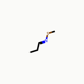 [CH2]C/C=N/SC